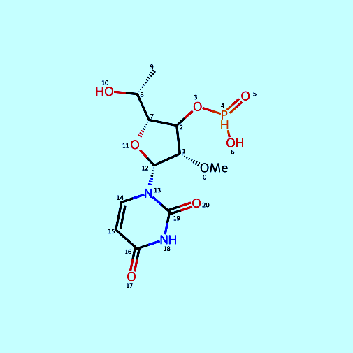 CO[C@H]1C(O[PH](=O)O)[C@@H]([C@@H](C)O)O[C@H]1n1ccc(=O)[nH]c1=O